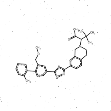 COCc1cc(-c2nc(-c3ccc4c(c3)CN(C(C(=O)O)C(C)(C)C)CC4)no2)ccc1-c1ccccc1C